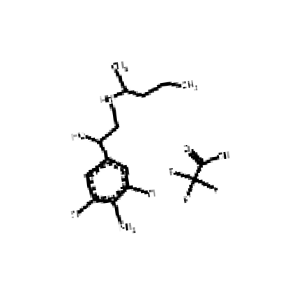 CCCC(C)NCC(O)c1cc(Cl)c(N)c(Cl)c1.O=C(O)C(F)(F)F